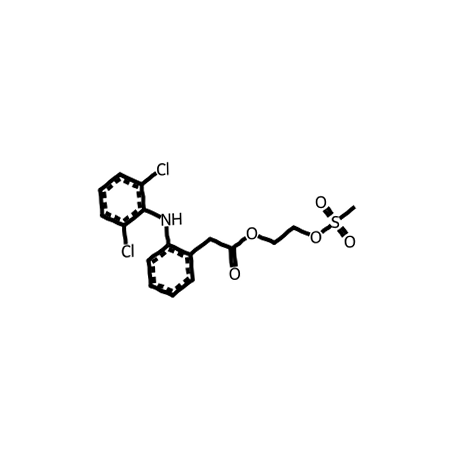 CS(=O)(=O)OCCOC(=O)Cc1ccccc1Nc1c(Cl)cccc1Cl